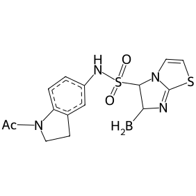 BC1N=C2SC=CN2C1S(=O)(=O)Nc1ccc2c(c1)CCN2C(C)=O